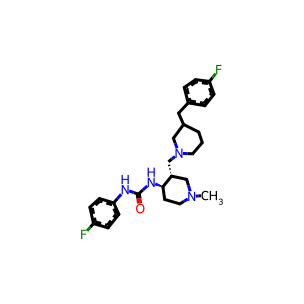 CN1CC[C@@H](NC(=O)Nc2ccc(F)cc2)[C@H](CN2CCCC(Cc3ccc(F)cc3)C2)C1